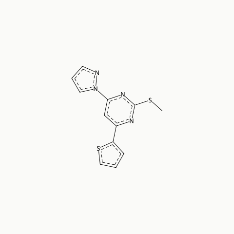 CSc1nc(-c2cccs2)cc(-n2cccn2)n1